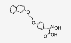 O=C(O)C(=NO)c1ccc(OCCOc2ccc3ccccc3c2)cc1